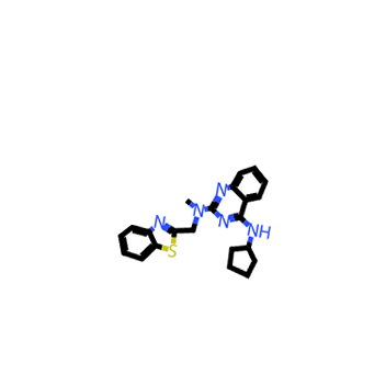 CN(Cc1nc2ccccc2s1)c1nc(NC2CCCC2)c2ccccc2n1